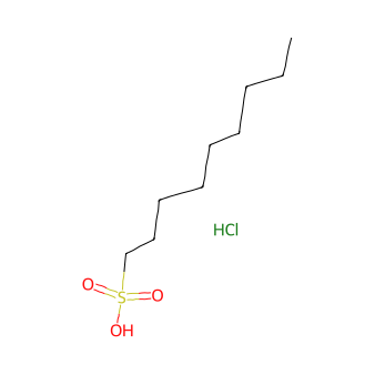 CCCCCCCCCS(=O)(=O)O.Cl